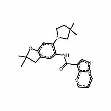 CC1(C)CCN(c2cc3c(cc2NC(=O)c2cnn4cccnc24)CC(C)(C)O3)C1